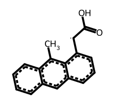 Cc1c2ccccc2cc2cccc([CH]C(=O)O)c12